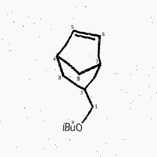 CC(C)COCC1CC2C=CC1C2